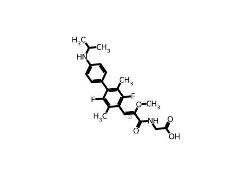 CO/C(=C\c1c(C)c(F)c(-c2ccc(NC(C)C)cc2)c(C)c1F)C(=O)NCC(=O)O